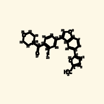 Cc1nnc(-c2ccc3occ(-c4ccc(C(=O)N5CCOCC5)c(F)c4)c3c2)o1